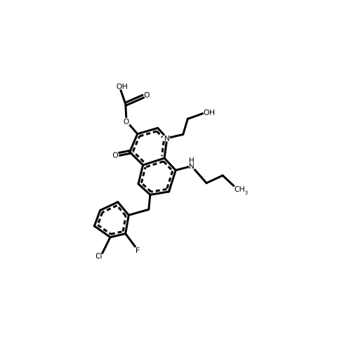 CCCNc1cc(Cc2cccc(Cl)c2F)cc2c(=O)c(OC(=O)O)cn(CCO)c12